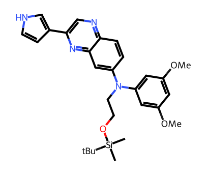 COc1cc(OC)cc(N(CCO[Si](C)(C)C(C)(C)C)c2ccc3ncc(-c4cc[nH]c4)nc3c2)c1